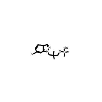 CC(C)(CO[Si](C)(C)C(C)(C)C)Cn1ncc2ccc(Br)cc21